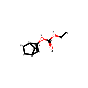 CCOC(=O)OC1=CC2CCC1C2